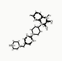 Cc1ccc2c(n1)n(C1CCN(c3ncc(CN4CCNCC4)cn3)CC1)c(=O)c(=O)n2C